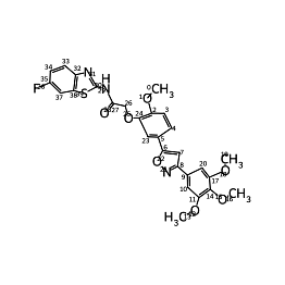 COc1ccc(-c2cc(-c3cc(OC)c(OC)c(OC)c3)no2)cc1OCC(=O)Nc1nc2ccc(F)cc2s1